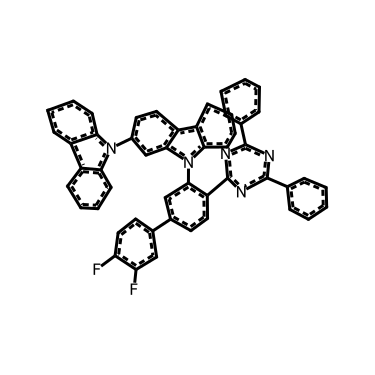 Fc1ccc(-c2ccc(-c3nc(-c4ccccc4)nc(-c4ccccc4)n3)c(-n3c4ccccc4c4ccc(-n5c6ccccc6c6ccccc65)cc43)c2)cc1F